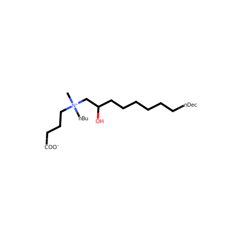 CCCCCCCCCCCCCCCCC(O)C[N+](C)(CCCC)CCCC(=O)[O-]